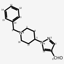 O=Cc1cnn(C2CCN(Cc3ccccc3)CC2)c1